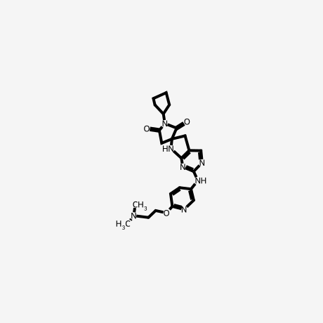 CN(C)CCOc1ccc(Nc2ncc3c(n2)NC2(CC(=O)N(C4CCCC4)C2=O)C3)cn1